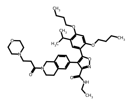 CCCCOc1cc(OCCCC)c(C(C)C)cc1-c1onc(C(=O)NCC)c1-c1ccc2c(c1)CCN(C(=O)CCN1CCOCC1)C2